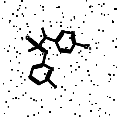 CC(c1ccc(C(F)(F)F)nc1)S(C)(=O)=Nc1cccc(F)n1